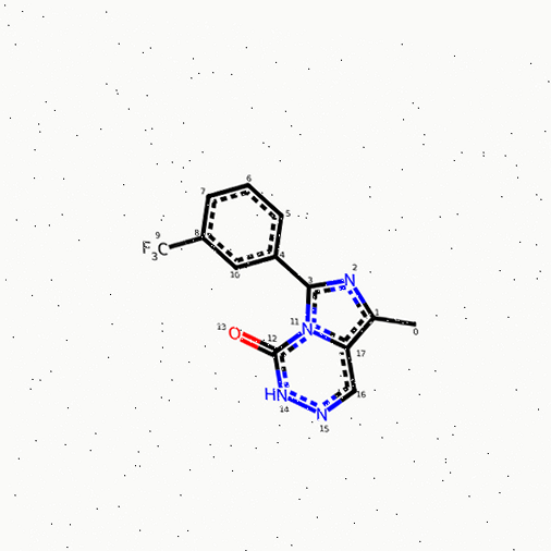 Cc1nc(-c2cccc(C(F)(F)F)c2)n2c(=O)[nH]ncc12